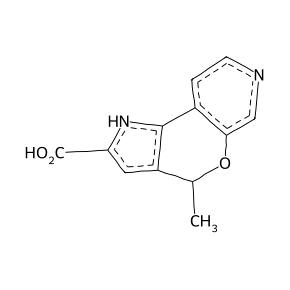 CC1Oc2cnccc2-c2[nH]c(C(=O)O)cc21